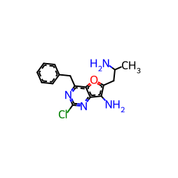 CC(N)Cc1oc2c(Cc3ccccc3)nc(Cl)nc2c1N